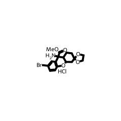 COC(=O)C1(N)c2cc(Br)ccc2OC2CC3(CCC21)OCCO3.Cl